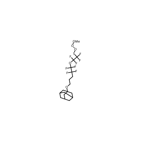 COOOSC(F)(F)C(F)(F)OC(F)(F)C(F)(F)CCCOC12CC3CC(CC(C3)C1)C2